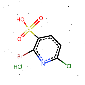 Cl.O=S(=O)(O)c1ccc(Cl)nc1Br